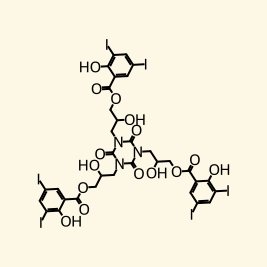 O=C(OCC(O)Cn1c(=O)n(CC(O)COC(=O)c2cc(I)cc(I)c2O)c(=O)n(CC(O)COC(=O)c2cc(I)cc(I)c2O)c1=O)c1cc(I)cc(I)c1O